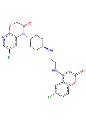 O=C1COc2ncc(F)cc2N1[C@H]1CC[C@H](NCCNc2cc(=O)oc3ccc(F)cc23)CC1